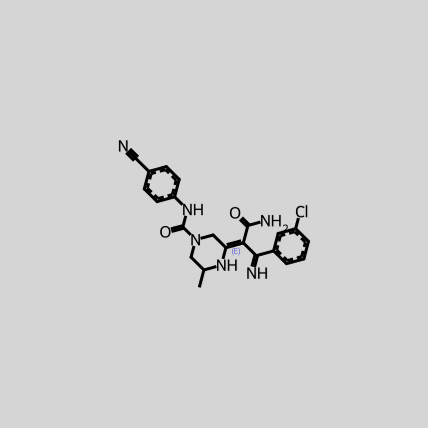 CC1CN(C(=O)Nc2ccc(C#N)cc2)C/C(=C(/C(=N)c2cccc(Cl)c2)C(N)=O)N1